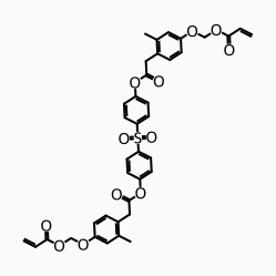 C=CC(=O)OCOc1ccc(CC(=O)Oc2ccc(S(=O)(=O)c3ccc(OC(=O)Cc4ccc(OCOC(=O)C=C)cc4C)cc3)cc2)c(C)c1